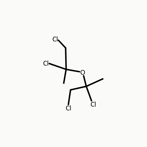 CC(Cl)(CCl)OC(C)(Cl)CCl